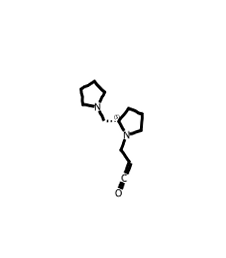 O=C=CCN1CCC[C@H]1CN1CCCC1